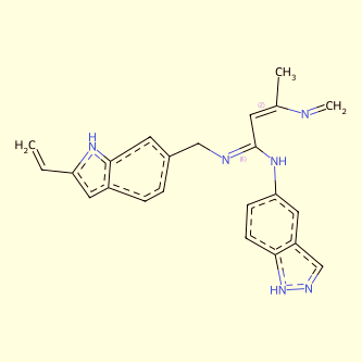 C=Cc1cc2ccc(C/N=C(\C=C(\C)N=C)Nc3ccc4[nH]ncc4c3)cc2[nH]1